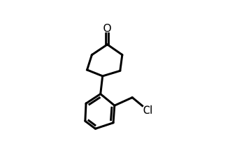 O=C1CCC(c2ccccc2CCl)CC1